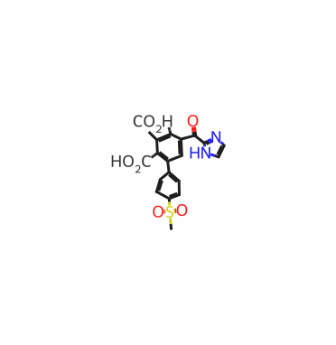 Cc1c(C(=O)O)c(C(=O)c2ncc[nH]2)cc(-c2ccc(S(C)(=O)=O)cc2)c1C(=O)O